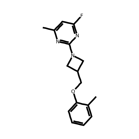 Cc1cc(F)nc(N2CC(COc3ccccc3C)C2)n1